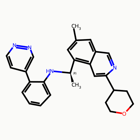 Cc1cc([C@@H](C)Nc2ccccc2-c2ccnnc2)c2cc(C3CCOCC3)ncc2c1